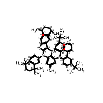 Cc1cc2c3c(c1)N(c1ccc4c(c1)C(C)(C)CCC4(C)C)c1sc4cc5c(cc4c1B3c1cc(C(C)(C)C)ccc1N2c1ccc(C(C)(C)C)cc1-c1ccccc1)C1(C)CCC5(C)CC1